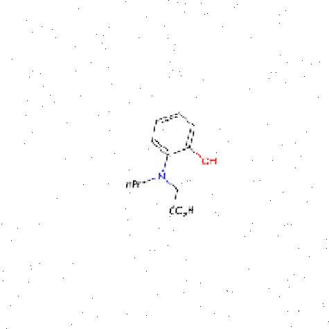 CCCN(CC(=O)O)c1ccccc1O